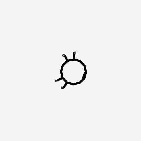 ClC1CCC=CCCC(Br)C(Br)CCC1Cl